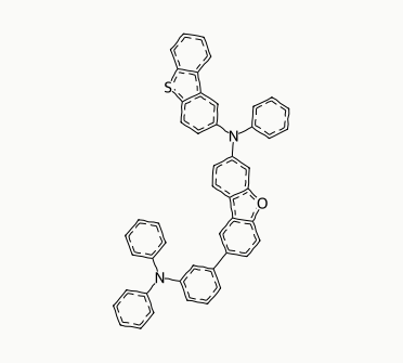 c1ccc(N(c2ccccc2)c2cccc(-c3ccc4oc5cc(N(c6ccccc6)c6ccc7sc8ccccc8c7c6)ccc5c4c3)c2)cc1